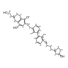 Cc1c(COc2cc(O)c3c(c2Cl)CCN(CC(=O)O)C3)cccc1-c1cccc(OCCCN2CC[C@@H](O)C2)c1C